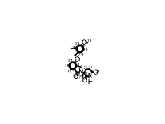 [2H][C@]1(N2Cc3c(OCc4ccc(OC)cc4F)cccc3C2=O)CCC(=O)NC1=O